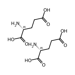 N[C@H](CCC(=O)O)C(=O)O.N[C@H](CCC(=O)O)C(=O)O